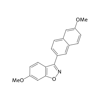 COc1ccc2cc(-c3noc4cc(OC)ccc34)ccc2c1